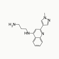 Cn1cc(-c2cc(NCCCN)c3ccccc3n2)cn1